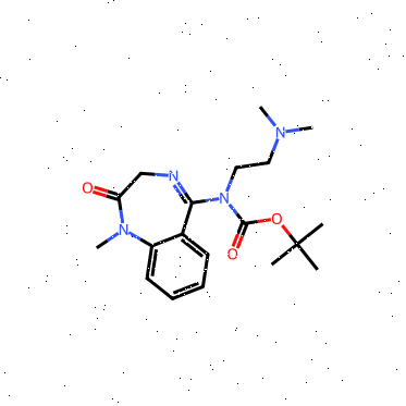 CN(C)CCN(C(=O)OC(C)(C)C)C1=NCC(=O)N(C)c2ccccc21